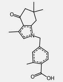 Cc1cc(Cn2cc(C)c3c2CC(C)(C)CC3=O)ccc1C(=O)O